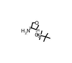 CC(C)(C)[Si](C)(C)O[C@H]1COC[C@H]1N